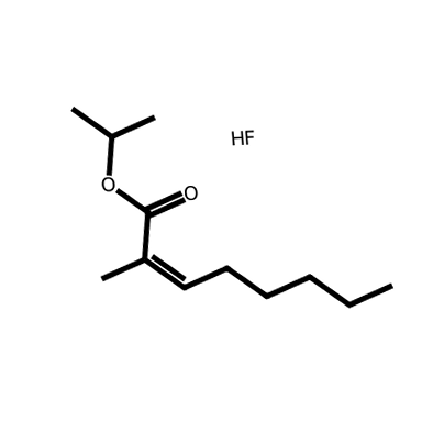 CCCCCC=C(C)C(=O)OC(C)C.F